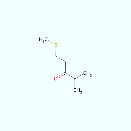 C=C(C)C(=O)[CH]CSC